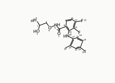 CCCC(O)CONC(=O)c1ccc(F)c(F)c1Nc1ccc(I)cc1C